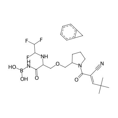 CC(C)(C)C=C(C#N)C(=O)N1CCCC1COCC(NC(F)C(F)F)C(=O)NB(O)O.c1ccc2c(c1)C2